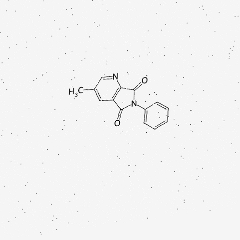 Cc1cnc2c(c1)C(=O)N(c1ccccc1)C2=O